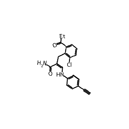 C#Cc1ccc(N/C=C(/Cc2c(Cl)cccc2C(=O)CC)C(N)=O)cc1